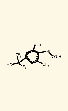 Cc1cc(C(O)(C(F)(F)F)C(F)(F)F)cc(C)c1NC(=O)O